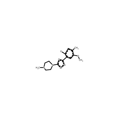 COc1cc(-c2nnc(N3CCN(C)CC3)o2)c(F)cc1C